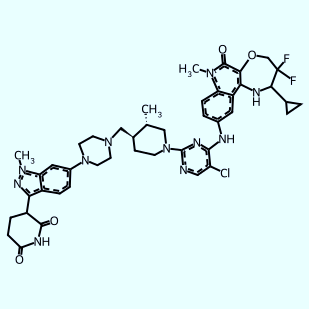 C[C@@H]1CN(c2ncc(Cl)c(Nc3ccc4c(c3)c3c(c(=O)n4C)OCC(F)(F)C(C4CC4)N3)n2)CC[C@H]1CN1CCN(c2ccc3c(C4CCC(=O)NC4=O)nn(C)c3c2)CC1